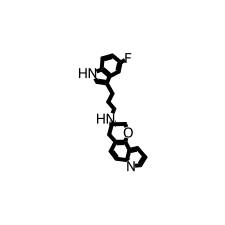 Fc1ccc2[nH]cc(CCCN[C@@H]3COc4c(ccc5ncccc45)C3)c2c1